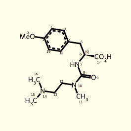 COc1ccc(C[C@H](NC(=O)N(C)CCN(C)C)C(=O)O)cc1